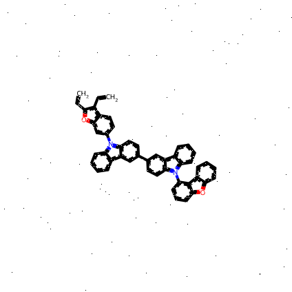 C=Cc1oc2cc(-n3c4ccccc4c4cc(-c5ccc6c(c5)c5ccccc5n6-c5cccc6oc7ccccc7c56)ccc43)ccc2c1C=C